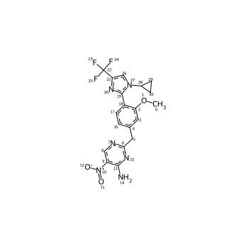 COc1cc(Cc2ncc([N+](=O)[O-])c(N)n2)ccc1-c1nc(C(F)(F)F)cn1C1CC1